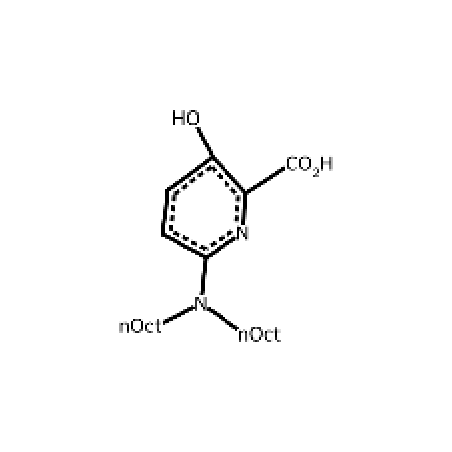 CCCCCCCCN(CCCCCCCC)c1ccc(O)c(C(=O)O)n1